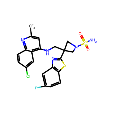 NS(=O)(=O)N1CC(CNc2cc(C(F)(F)F)nc3ccc(Cl)cc23)(c2nc3cc(F)ccc3s2)C1